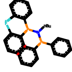 CCCCN(P(c1ccccc1)c1ccccc1)P(c1ccccc1F)c1ccccc1F